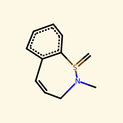 C=S1c2ccccc2C=CCN1C